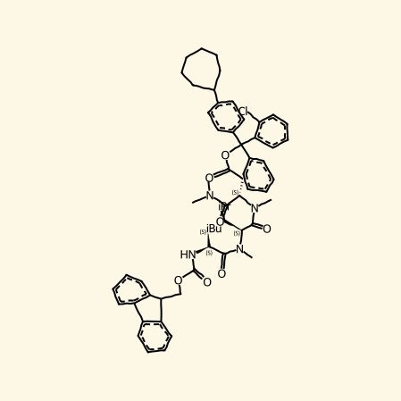 CC[C@H](C)[C@H](NC(=O)OCC1c2ccccc2-c2ccccc21)C(=O)N(C)[C@@H](CC(C)C)C(=O)N(C)[C@@H](CC(=O)OC(c1ccccc1)(c1ccc(C2CCCCCC2)cc1)c1ccccc1Cl)C(=O)N(C)C